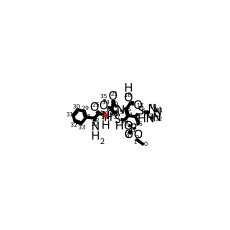 CCOP(=O)(O)CC(Sc1nnn[nH]1)C1=C(C(=O)O)N2C(=O)[C@](NC(=O)C(N)c3ccccc3)(OC)[C@@H]2SC1